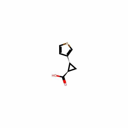 O=C(O)[C@@H]1C[C@H]1c1ccsc1